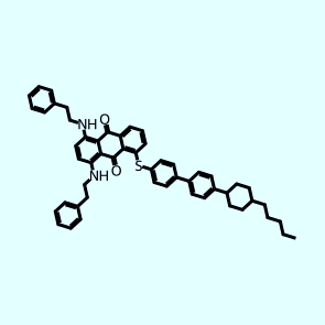 CCCCCC1CCC(c2ccc(-c3ccc(Sc4cccc5c4C(=O)c4c(NCCc6ccccc6)ccc(NCCc6ccccc6)c4C5=O)cc3)cc2)CC1